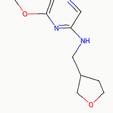 COc1cncc(NCC2CCOC2)n1